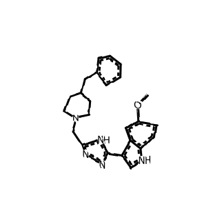 COc1ccc2[nH]cc(-c3nnc(CN4CCC(Cc5ccccc5)CC4)[nH]3)c2c1